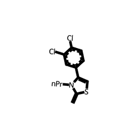 C=C1SC=C(c2ccc(Cl)c(Cl)c2)N1CCC